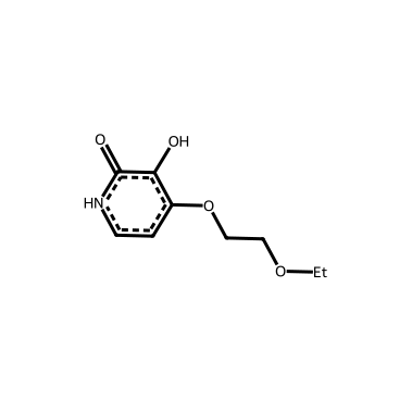 CCOCCOc1cc[nH]c(=O)c1O